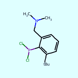 CN(C)Cc1cccc(C(C)(C)C)c1P(Cl)Cl